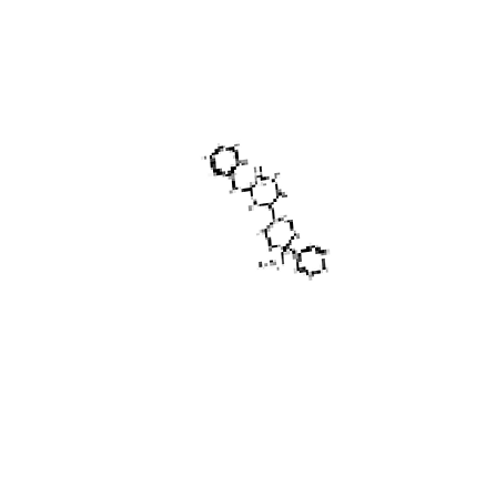 CC(=O)NC1(c2ccccc2)CCN(C2CCNC(Cc3ccccc3)C2)CC1